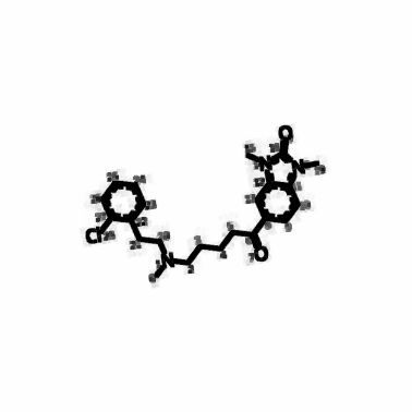 CN(CCCCC(=O)c1ccc2c(c1)n(C)c(=O)n2C)CCc1ccccc1Cl